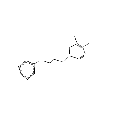 NC1=C(O)N=CN(NCCOc2ccccc2)C1